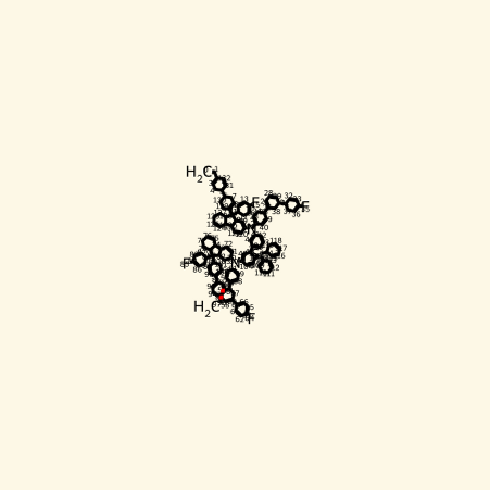 C=CC1=CCC(C2CC=C(C3(C4C=CC(F)=CC4)C4C=C(N(C5=CCC(C6=CC=CC(C7C=CC(F)=CC7)C6)C=C5)c5ccc6c(c5)C5C=C(N(c7ccc(C8CCC=C(c9ccc(F)cc9)C8)cc7)C7C=CC8C9C=CCCC9C(C9C=CC(F)=CC9)(C9C=CC(C%10=CCC(C=C)C=C%10)=CC9)C8C7)C=CC5[Si]6(C5=CCCC=C5)C5C=CC=CC5)C=CC4C4C=CCCC43)CC2)C=C1